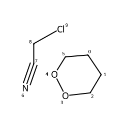 C1CCOOC1.N#CCCl